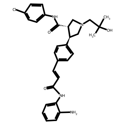 CC(C)(O)CN1C[C@@H](C(=O)Nc2ccc(Cl)cc2)[C@H](c2ccc(/C=C/C(=O)Nc3ccccc3N)cc2)C1